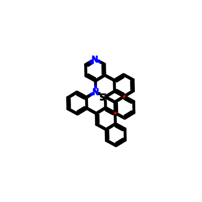 c1ccc([Si]23c4ccccc4-c4cnccc4N2c2ccccc2-c2cc4ccccc4cc23)cc1